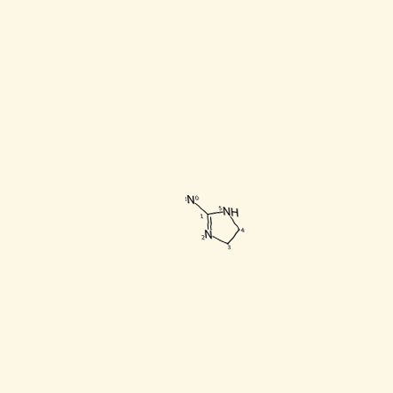 [N]C1=NCCN1